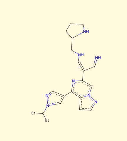 CCC(CC)n1cc(-c2nc(/C(C=N)=C/NCC3CCCN3)cn3nccc23)cn1